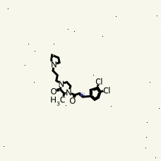 CC1C(=O)N(CCCN2CCCC2)CCN1C(=O)/C=C/c1ccc(Cl)c(Cl)c1